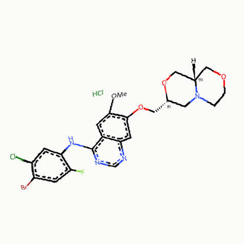 COc1cc2c(Nc3cc(Cl)c(Br)cc3F)ncnc2cc1OC[C@H]1CN2CCOC[C@H]2CO1.Cl